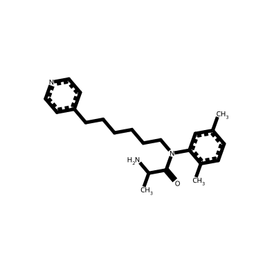 Cc1ccc(C)c(N(CCCCCCc2ccncc2)C(=O)C(C)N)c1